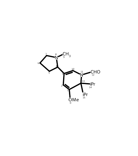 COC1=CC(C2CCCN2C)=CN(C=O)C1(C(C)C)C(C)C